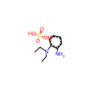 CCN(CC)c1ccccc1N.O=S(=O)(O)O